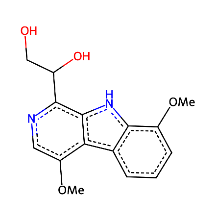 COc1cccc2c1[nH]c1c(C(O)CO)ncc(OC)c12